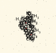 Cc1cc(C)c(-c2cccnc2)c(C)c1B(c1c(C)cc(C)c(-c2cccnc2)c1C)c1c(C)cc(C)c(-c2ccc3oc4ccc(-c5cc6c7c(c5)Cc5c(c(C)cc(C)c5-c5cccnc5)B7c5c(cc(C)c(-c7cccnc7)c5C)C6)cc4c3c2)c1C